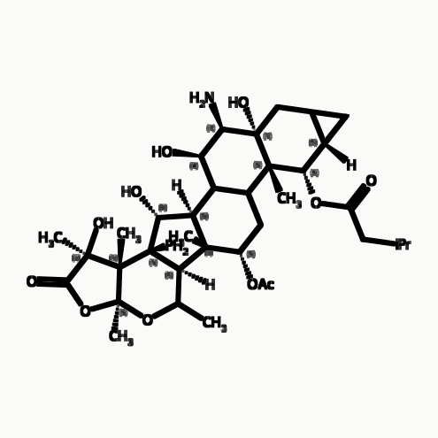 CC(=O)O[C@H]1CC2C([C@@H](O)[C@@H](N)[C@@]3(O)CC4C[C@@H]4[C@H](OC(=O)CC(C)C)[C@]23C)[C@@H]2[C@@H](O)[C@]3(P)[C@H](C(C)O[C@@]4(C)OC(=O)[C@@](C)(O)[C@@]43C)[C@@]12C